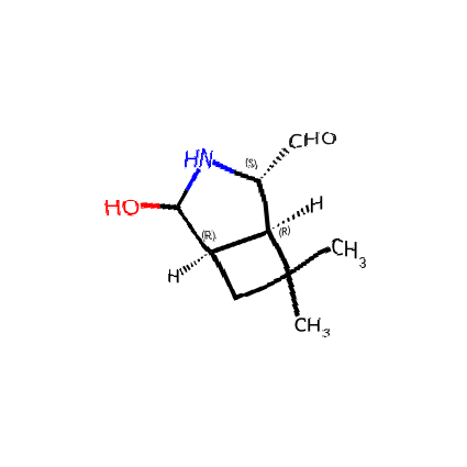 CC1(C)C[C@H]2C(O)N[C@H](C=O)[C@H]21